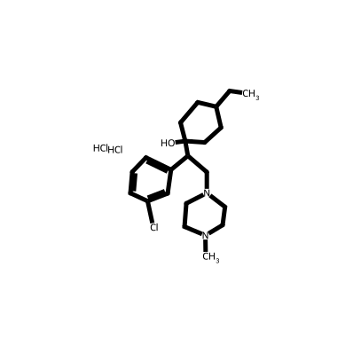 CCC1CCC(O)(C(CN2CCN(C)CC2)c2cccc(Cl)c2)CC1.Cl.Cl